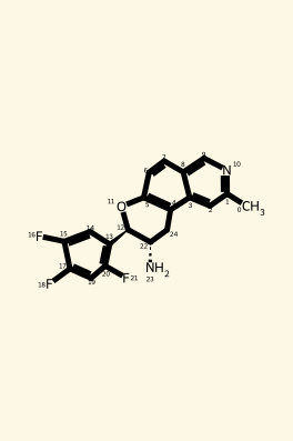 Cc1cc2c3c(ccc2cn1)O[C@H](c1cc(F)c(F)cc1F)[C@@H](N)C3